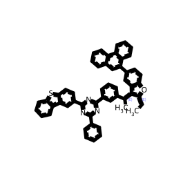 C/C=c1/oc2ccc(-c3cc4ccccc4c4ccccc34)cc2/c1=C(/C)c1cccc(-c2nc(-c3ccccc3)nc(-c3ccc4sc5ccccc5c4c3)n2)c1